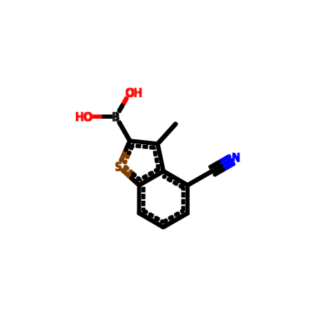 Cc1c(B(O)O)sc2cccc(C#N)c12